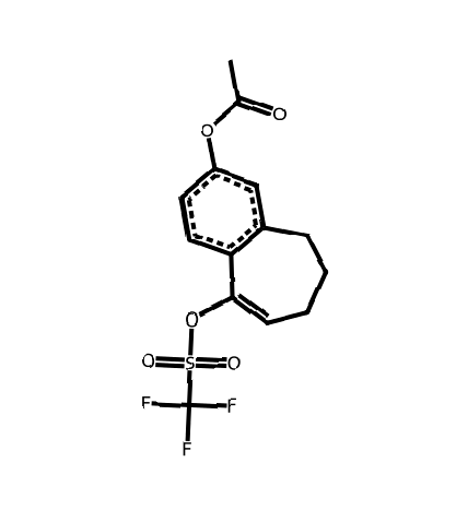 CC(=O)Oc1ccc2c(c1)CCCC=C2OS(=O)(=O)C(F)(F)F